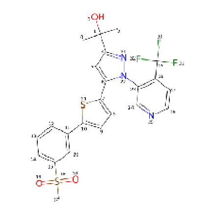 CC(C)(O)c1cc(-c2ccc(-c3cccc(S(C)(=O)=O)c3)s2)n(-c2cnccc2C(F)(F)F)n1